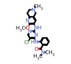 COc1nc2c(cc1Nc1ncc(Cl)c(Nc3ccccc3C(=O)N(C)C)n1)CN(C)CC2